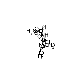 Cc1cc(N2CCC(F)(F)CC2)cnc1-c1cc(C(=O)Nc2cc(Cl)cc(S(C)(=O)=O)c2)sc1C